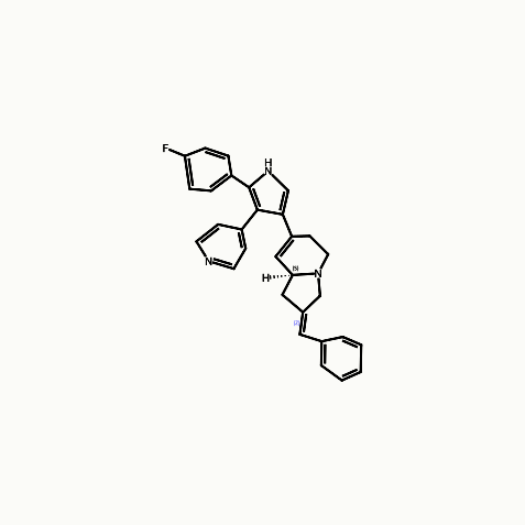 Fc1ccc(-c2[nH]cc(C3=C[C@@H]4C/C(=C/c5ccccc5)CN4CC3)c2-c2ccncc2)cc1